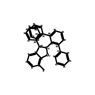 Cc1cccc2c1OB(c1c(-c3ccccc3)cccc1-c1ccccc1)N2c1ccccc1